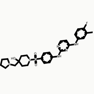 Cc1cc(Nc2ccnc(Nc3ccc(S(=O)(=O)N4CCC(O)(CN5CCCC5)CC4)cc3)n2)ccc1F